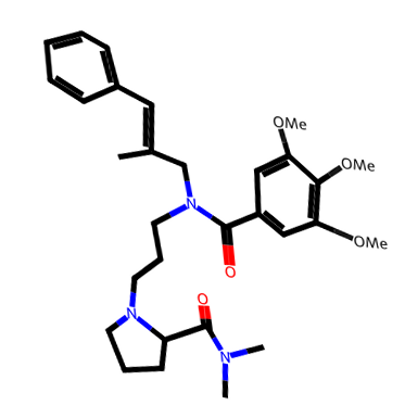 COc1cc(C(=O)N(CCCN2CCCC2C(=O)N(C)C)C/C(C)=C/c2ccccc2)cc(OC)c1OC